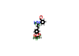 O=Cc1ccccc1NC(F)(F)/C=C/c1ccc2c(c1)OC(F)(F)C(F)(F)O2